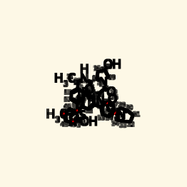 Cc1ncsc1-c1ccc([C@H](C)NC(=O)[C@@H]2C[C@@H](O)CN2C(=O)[C@@H](NC(=O)CN2CC3CCC(C2)N3c2ccc(-c3cnnc(-c4ccccc4O)c3)cc2)C(C)(C)C)cc1